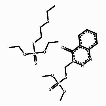 CCOP(=S)(OCC)SCCSCC.COP(=S)(OC)SCn1nnc2ccccc2c1=O